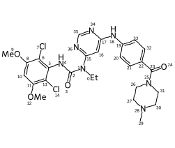 CCN(C(=O)Nc1c(Cl)c(OC)cc(OC)c1Cl)c1cc(Nc2ccc(C(=O)N3CCN(C)CC3)cc2)ncn1